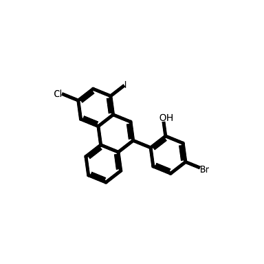 Oc1cc(Br)ccc1-c1cc2c(I)cc(Cl)cc2c2ccccc12